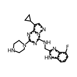 Fc1cccc2[nH]c(CNc3nc(N4CCNCC4)nc4c(C5CC5)cnn34)nc12